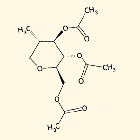 CC(=O)OC[C@H]1OC[C@H](C)[C@@H](OC(C)=O)[C@@H]1OC(C)=O